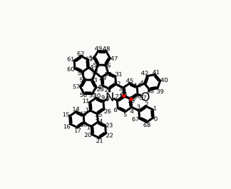 c1ccc(-c2ccc(N(c3ccc4c5ccccc5c5ccccc5c4c3)c3cc4c(cc3-c3ccc5oc6ccccc6c5c3)-c3ccccc3C43c4ccccc4-c4ccccc43)cc2)cc1